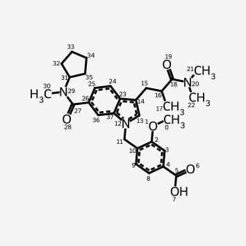 COc1cc(C(=O)O)ccc1Cn1cc(CC(C)C(=O)N(C)C)c2ccc(C(=O)N(C)C3CCCC3)cc21